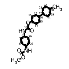 COC(=O)Nc1ccc(NC(=O)Oc2ccc(-c3ccc(C)cc3)cc2)cc1